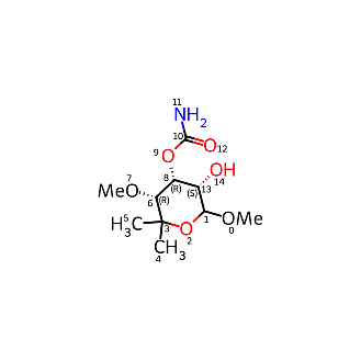 COC1OC(C)(C)[C@H](OC)[C@H](OC(N)=O)[C@@H]1O